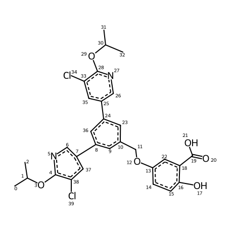 CC(C)Oc1ncc(-c2cc(COc3ccc(O)c(C(=O)O)c3)cc(-c3cnc(OC(C)C)c(Cl)c3)c2)cc1Cl